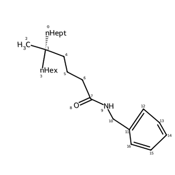 CCCCCCC[C@@](C)(CCCCCC)CCCC(=O)NCc1ccccc1